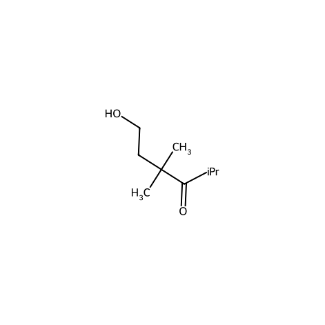 CC(C)C(=O)C(C)(C)CCO